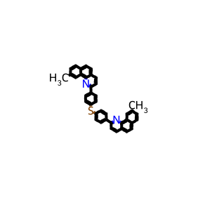 Cc1ccc2ccc3ccc(-c4ccc(Sc5ccc(-c6ccc7ccc8ccc(C)cc8c7n6)cc5)cc4)nc3c2c1